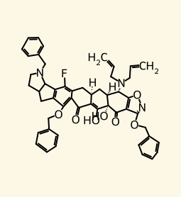 C=CCN(CC=C)[C@@H]1c2onc(OCc3ccccc3)c2C(=O)[C@@]2(O)C(O)=C3C(=O)c4c(c(F)c5c(c4OCc4ccccc4)CC4CCN(Cc6ccccc6)C54)C[C@H]3C[C@@H]12